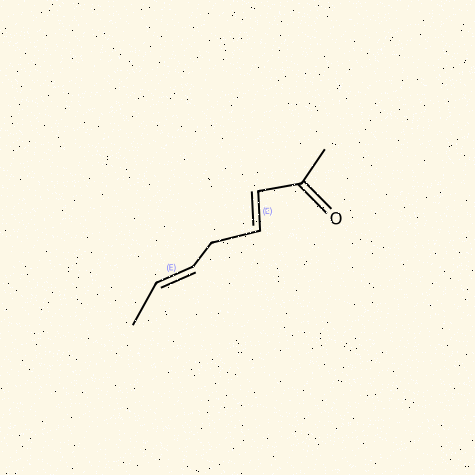 C/C=C/C/C=C/C(C)=O